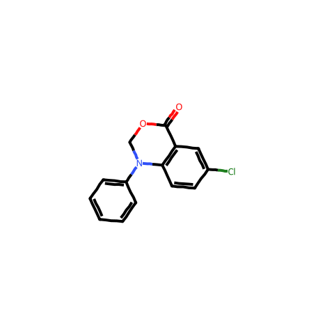 O=C1OCN(c2ccccc2)c2ccc(Cl)cc21